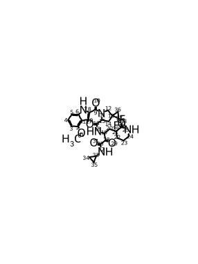 COc1cccc2[nH]c(C(=O)N3CC4(CC3C(=O)NC(CC3CCCNC3=O)C(=O)C(=O)NC3CC3)CC4(F)F)cc12